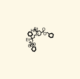 CCN[C@H]1CC(C(=O)OCc2ccccc2)CCN1CC[C@](CC)(CN(C)S(=O)(=O)c1ccccc1)c1ccccc1